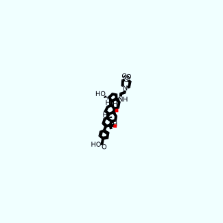 CC1(C)C(c2ccc(C(=O)O)cc2)=CC[C@]2(C)[C@H]3CC[C@@H]4[C@H]5[C@H](CO)CC[C@]5(NCCN5CCS(=O)(=O)CC5)CC[C@@]4(C)[C@]3(C)CC[C@@H]12